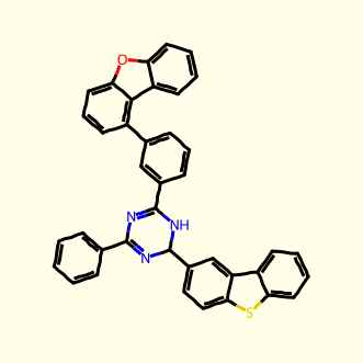 c1ccc(C2=NC(c3ccc4sc5ccccc5c4c3)NC(c3cccc(-c4cccc5oc6ccccc6c45)c3)=N2)cc1